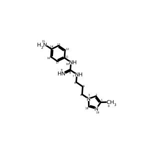 Cc1cn(CCCNC(=N)Nc2ccc(N)cc2)cn1